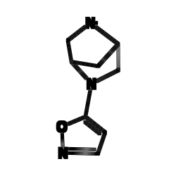 c1cc(N2CC3CC2C[N]3)on1